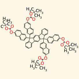 CC(C)(C)OC(=O)Oc1ccc2cc(C3(c4ccc5cc(OC(=O)OC(C)(C)C)ccc5c4)c4ccccc4-c4cc5c(cc43)-c3ccccc3C5(c3ccc4cc(OC(=O)OC(C)(C)C)ccc4c3)c3ccc4cc(OC(=O)OC(C)(C)C)ccc4c3)ccc2c1